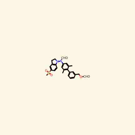 Cc1cc(N(C=O)N2CCc3cc(S(C)(=O)=O)ccc32)cc(C)c1-c1cccc(COC=O)c1